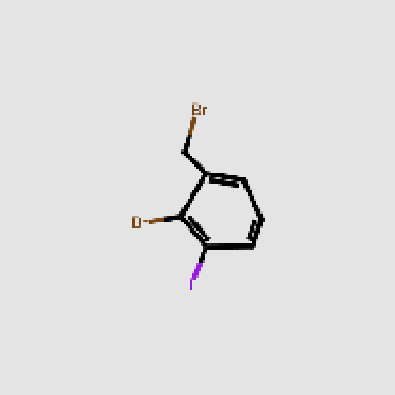 BrCc1cccc(I)c1Br